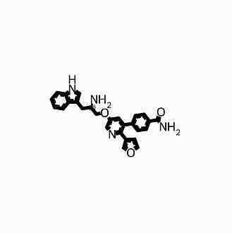 NC(=O)c1ccc(-c2cc(OC[C@H](N)Cc3c[nH]c4ccccc34)cnc2-c2ccoc2)cc1